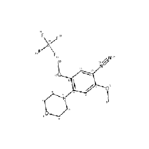 COc1cc(N2CCOCC2)c(OC)cc1[N+]#N.F[B-](F)(F)F